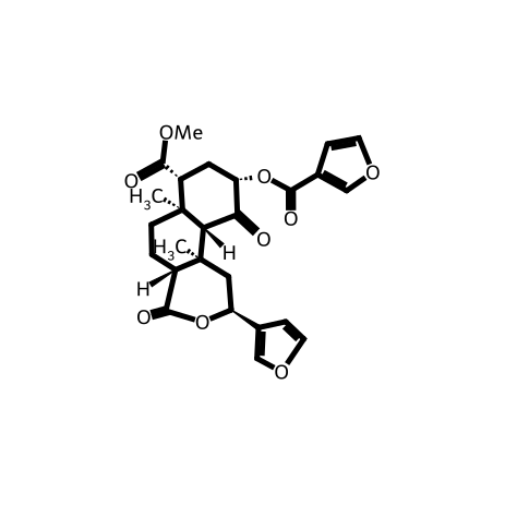 COC(=O)[C@@H]1C[C@H](OC(=O)c2ccoc2)C(=O)[C@H]2[C@@]1(C)CC[C@H]1C(=O)O[C@H](c3ccoc3)C[C@]21C